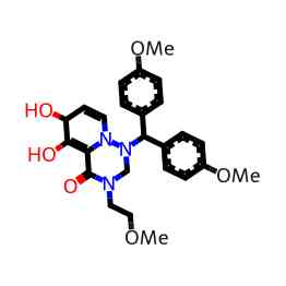 COCCN1CN(C(c2ccc(OC)cc2)c2ccc(OC)cc2)N2C=CC(O)C(O)=C2C1=O